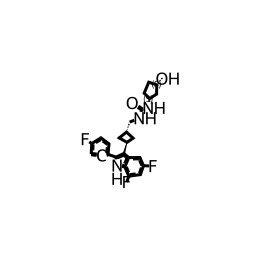 O=C(NC[C@H]1C[C@H](c2c(-c3ccc(F)cc3)[nH]c3c(F)cc(F)cc32)C1)N[C@H]1CC[C@H](O)C1